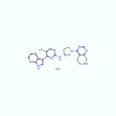 Cl.Clc1cnc(N[C@@H]2CCN(c3ncnc4c3CCNC4)C2)nc1-c1c[nH]c2ncccc12